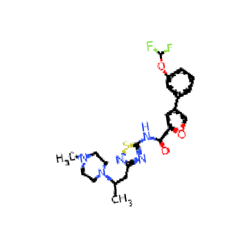 CC(Cc1nsc(NC(=O)c2cc(-c3cccc(OC(F)F)c3)co2)n1)N1CCN(C)CC1